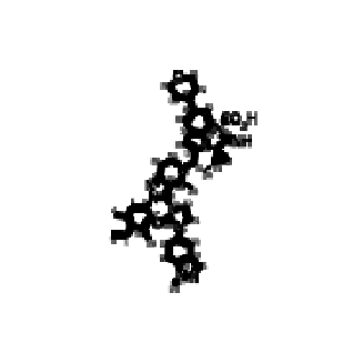 C=Cc1c(C)cc(-n2nc3c(c2-n2ccn(-c4ccc5c(cnn5C)c4)c2=O)[C@H](C)N(Cc2cc4cc(C5CCOCC5)ccc4n2[C@@]2(C(=N)NC(=O)O)C[C@@H]2C)CC3)cc1C